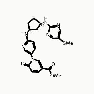 COC(=O)c1ccc(=O)n(-c2ccc(N[C@H]3CC[C@H](Nc4ncc(SC)cn4)C3)nc2)c1